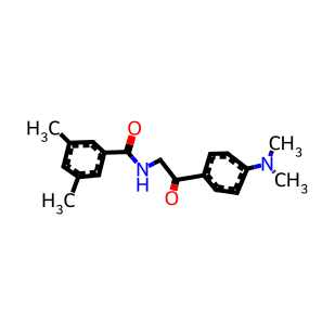 Cc1cc(C)cc(C(=O)NCC(=O)c2ccc(N(C)C)cc2)c1